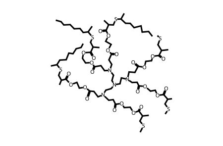 CCCCCCCC(C)SCC(C)C(=O)OCCOC(=O)CCN(CCC(=O)OCCOC(=O)C(C)CSC)CCN(CCN(CCC(=O)OCCOC(=O)C(C)CSC)CCC(=O)OCCOC(=O)C(C)CSC)CCN(CCC(=O)OCCOC(=O)C(C)CSC(C)CCCCCCC)CCC(=O)OCCOC(=O)C(C)CSC(C)CCCCCCC